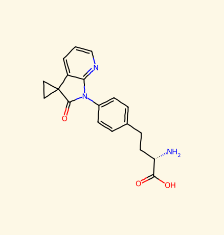 N[C@@H](CCc1ccc(N2C(=O)C3(CC3)c3cccnc32)cc1)C(=O)O